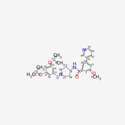 COc1cc(C(=O)NC2CCN(Cc3cc(OC(C)C)cc(OC(C)C)c3)CC2)cc(-c2cccnc2)c1